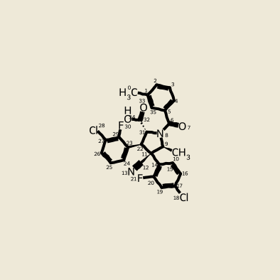 Cc1cccc(C(=O)N2[C@@H](C)[C@](C#N)(c3ccc(Cl)cc3F)[C@@H](c3cccc(Cl)c3F)[C@@H]2C(=O)O)c1